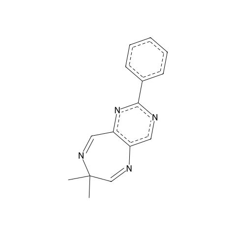 CC1(C)C=Nc2cnc(-c3ccccc3)nc2C=N1